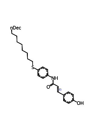 CCCCCCCCCCCCCCCCCCSc1ccc(NC(=O)/C=C/c2ccc(O)cc2)cc1